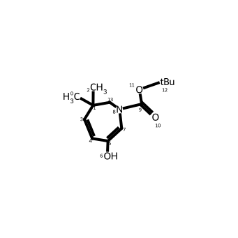 CC1(C)C=CC(O)=CN(C(=O)OC(C)(C)C)C1